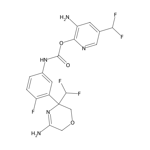 NC1=NC(c2cc(NC(=O)Oc3ncc(C(F)F)cc3N)ccc2F)(C(F)F)COC1